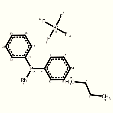 CCCC.F[B-](F)(F)F.[Rh][P](c1ccccc1)c1ccccc1